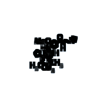 COc1cc(C(=O)NCCN2CCC2)ccc1NC1N=C2C(=CN1)N(C)C(=O)C(C)(C)CN2C1CCCC1